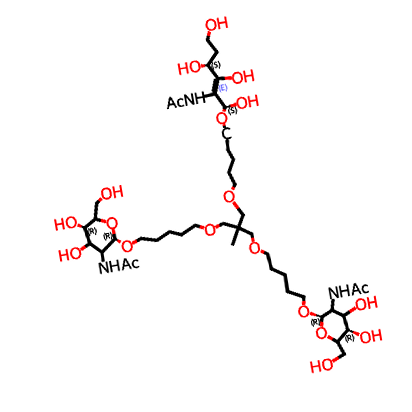 CC(=O)N/C(=C(/O)[C@@H](O)CCO)[C@@H](O)OCCCCCOCC(C)(COCCCCCO[C@@H]1OC(CO)[C@H](O)C(O)C1NC(C)=O)COCCCCCO[C@@H]1OC(CO)[C@H](O)C(O)C1NC(C)=O